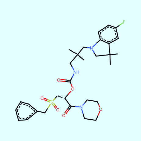 CC(C)(CNC(=O)O[C@@H](CS(=O)(=O)Cc1ccccc1)C(=O)N1CCOCC1)CN1CC(C)(C)c2cc(F)ccc21